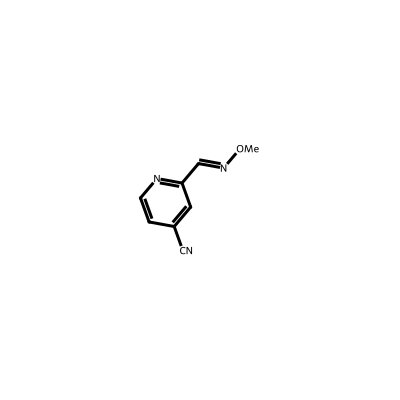 CON=Cc1cc(C#N)ccn1